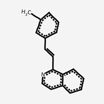 Cc1cccc(C=Cc2nccc3ccccc23)c1